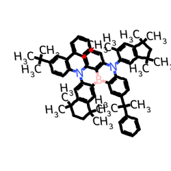 Cc1cc2c3c(c1)N(c1ccc(C(C)(C)C)cc1-c1ccccc1)c1cc4c(cc1B3c1cc(C(C)(C)c3ccccc3)ccc1N2c1cc2c(cc1C)C(C)(C)CC2(C)C)C(C)(C)CCC4(C)C